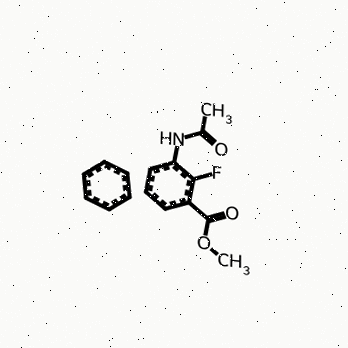 COC(=O)c1cccc(NC(C)=O)c1F.c1ccccc1